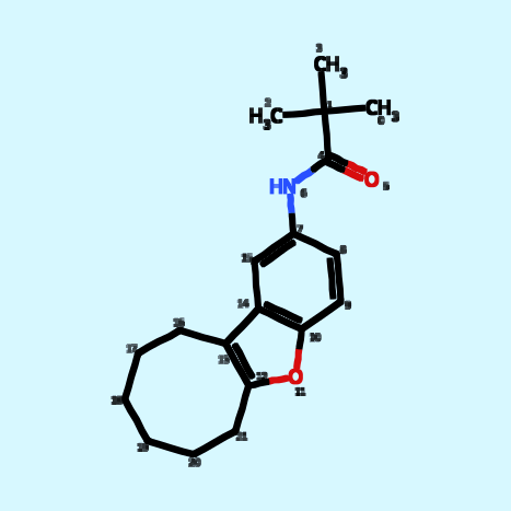 CC(C)(C)C(=O)Nc1ccc2oc3c(c2c1)CCCCCC3